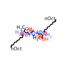 CCCCCCCC/C=C\CCCCCCCC(=O)NC(C(O)CN1CCN(CC(O)C(NC(=O)CCCCCCC/C=C\CCCCCCCC)C(N)C(C)O)CC1)C(N)C(C)O